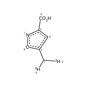 [2H]C([2H])c1cc(C(=O)O)no1